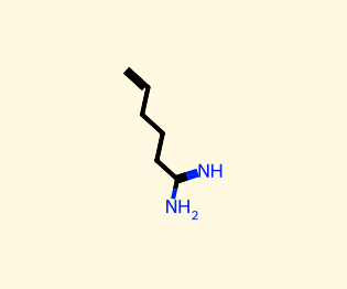 C=CCCCC(=N)N